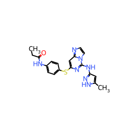 CCC(=O)Nc1ccc(Sc2cc3nccn3c(Nc3cc(C)[nH]n3)n2)cc1